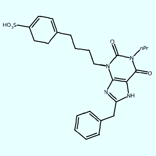 CCCn1c(=O)c2[nH]c(Cc3ccccc3)nc2n(CCCCC2=CC=C(S(=O)(=O)O)CC2)c1=O